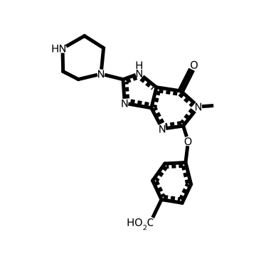 Cn1c(Oc2ccc(C(=O)O)cc2)nc2nc(N3CCNCC3)[nH]c2c1=O